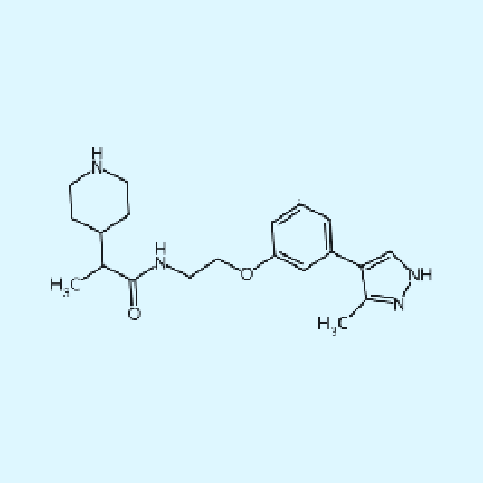 Cc1n[nH]cc1-c1c[c]cc(OCCNC(=O)C(C)C2CCNCC2)c1